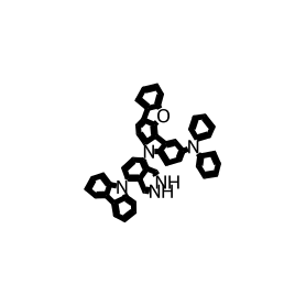 N=Cc1c(-n2c3ccccc3c3ccccc32)ccc(-n2c3ccc(N(c4ccccc4)c4ccccc4)cc3c3c4oc5ccccc5c4ccc32)c1C=N